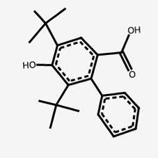 CC(C)(C)c1cc(C(=O)O)c(-c2ccccc2)c(C(C)(C)C)c1O